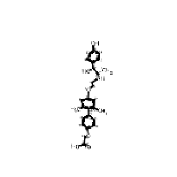 Cc1cc(OCCN[C@@H](C)[C@H](O)c2ccc(O)cc2)cc(C)c1-c1ccc(OCC(=O)O)cc1